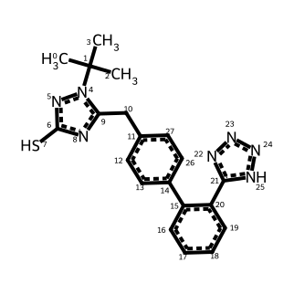 CC(C)(C)n1nc(S)nc1Cc1ccc(-c2ccccc2-c2nnn[nH]2)cc1